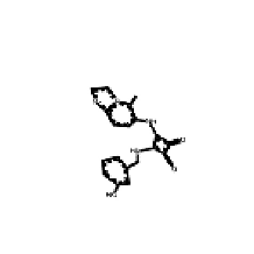 Cc1c(Nc2c(NCc3cccc(O)c3)c(=O)c2=O)ccc2nccn12